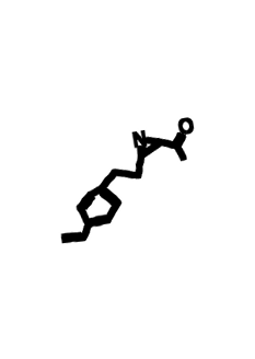 C=Cc1ccc(CCC2=NC2C(C)=O)cc1